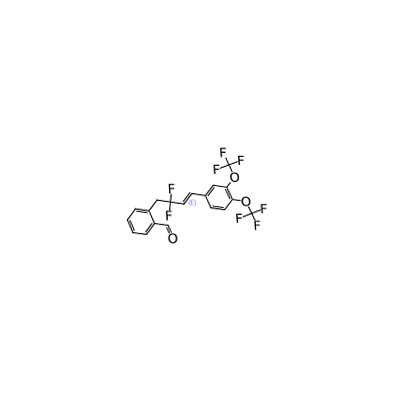 O=Cc1ccccc1CC(F)(F)/C=C/c1ccc(OC(F)(F)F)c(OC(F)(F)F)c1